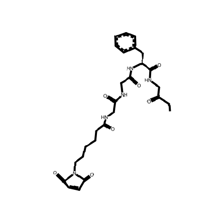 CCC(=O)CNC(=O)[C@H](Cc1ccccc1)NC(=O)CNC(=O)CNC(=O)CCCCCN1C(=O)C=CC1=O